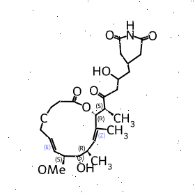 CO[C@H]1/C=C/CCCCC(=O)O[C@H]([C@H](C)C(=O)CC(O)CC2CC(=O)NC(=O)C2)/C(C)=C\[C@@H](C)[C@@H]1O